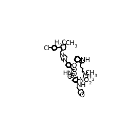 CN(C)CCCc1c[nH]c2cccc(Oc3cc(N4CCN(CC5=C(c6ccc(Cl)cc6)CC(C)(C)CC5)CC4)ccc3C(=O)NS(=O)(=O)c3ccc(NCC4CCOCC4)c([N+](=O)[O-])c3)c12